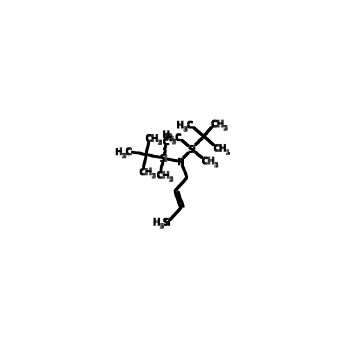 CC(C)(C)[Si](C)(C)N(CC=C[SiH3])[Si](C)(C)C(C)(C)C